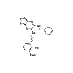 COc1cccc(/C=N/Nc2nc3nonc3nc2NCc2ccccc2)c1O